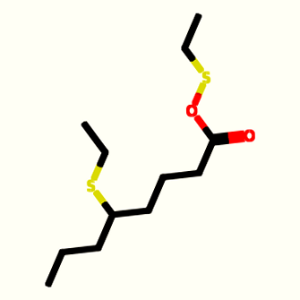 CCCC(CCCC(=O)OSCC)SCC